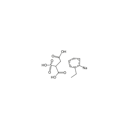 CCc1cccc[c]1[Na].O=C(O)CC(C(=O)O)S(=O)(=O)O